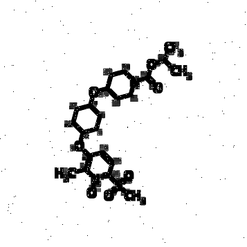 Cc1c(OC2CCC(OC3CCN(C(=O)OC(C)C(F)(F)F)CC3)CC2)ccc(S(C)(=O)=O)[n+]1[O-]